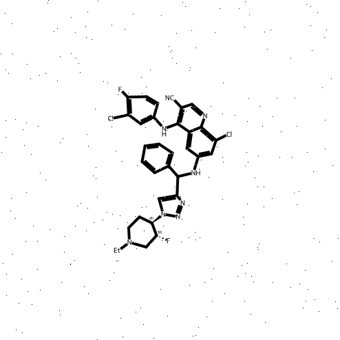 CCN1CC[C@@H](n2cc(C(Nc3cc(Cl)c4ncc(C#N)c(Nc5ccc(F)c(Cl)c5)c4c3)c3ccccc3)nn2)[C@H](F)C1